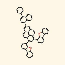 c1ccc(-c2ccc(-c3cc4ccc5c(-c6cccc7c6oc6ccccc67)cc(-c6cccc7c6oc6ccccc67)c6ccc(c3)c4c56)c3ccccc23)cc1